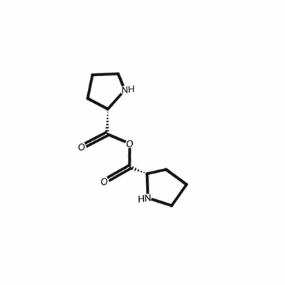 O=C(OC(=O)[C@@H]1CCCN1)[C@@H]1CCCN1